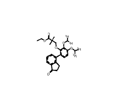 [2H]C([2H])Oc1ccc(-c2cccc3c2CCC3=O)c(OCC(C)(C)C(=O)OCC)c1OC([2H])[2H]